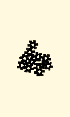 CC1(Nc2ccccc2-c2cccc(-c3ccc4c(c3)c3ccc5c(c3n4-c3cccc(-c4ccccc4)c3)-c3ccccc3C5(c3ccccc3)c3ccccc3)c2)C=CC=C2C=CC=CC21